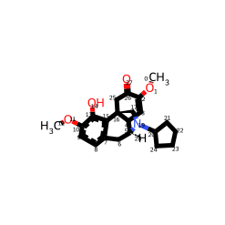 COC1=CC2[C@@H]3Cc4ccc(OC)c(O)c4[C@]2(CCN3C2CCCC2)CC1=O